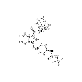 CC(C)(C)OC(=O)NC1CCN(Cc2nc(C(=O)NC34CC5CC(CC(C5)C3)C4)n3ccccc23)CC1